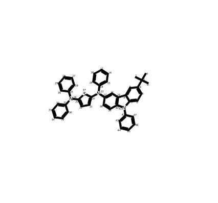 CC(C)(C)c1ccc2c(c1)c1cc(N(c3ccccc3)c3ccc(N(c4ccccc4)c4ccccc4)s3)ccc1n2-c1ccccc1